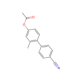 CC(=O)Oc1ccc(-c2ccc(C#N)cc2)c(C)c1